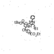 CCOC(=O)N1CCN(C(=O)C(CCC(=O)OC(C)(C)C)NC(=O)c2cc(CSCC)nc(-c3ccccc3)n2)CC1